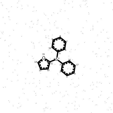 c1ccc([S+](c2ccccc2)c2ccco2)cc1